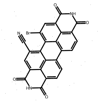 N#Cc1cc2c3c(ccc4c5ccc6c7c(cc(Br)c(c1c34)c75)C(=O)NC6=O)C(=O)NC2=O